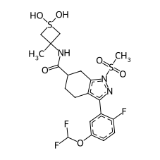 CC1(NC(=O)C2CCc3c(-c4cc(OC(F)F)ccc4F)nn(S(C)(=O)=O)c3C2)CS(O)(O)C1